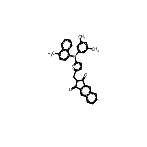 Cc1cc(C)cc(N(c2ccc(CC3C(=O)c4cc5ccccc5cc4C3=O)s2)c2ccc(C)c3ccccc23)c1